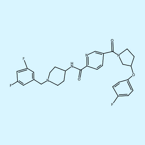 O=C(NC1CCN(Cc2cc(F)cc(F)c2)CC1)c1ccc(C(=O)N2CCC(Oc3ccc(F)cc3)C2)cn1